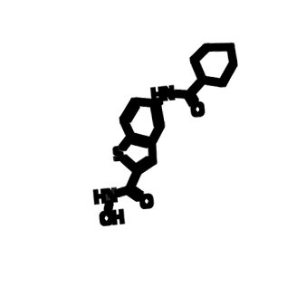 O=C(NO)c1cc2cc(NC(=O)C3CCCCC3)ccc2s1